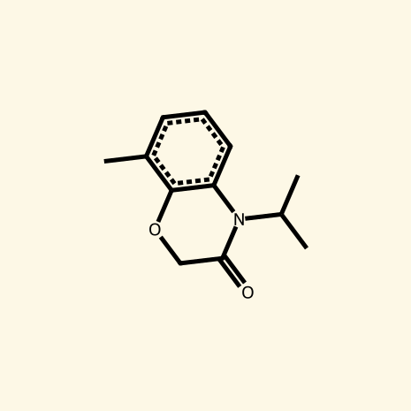 Cc1cccc2c1OCC(=O)N2C(C)C